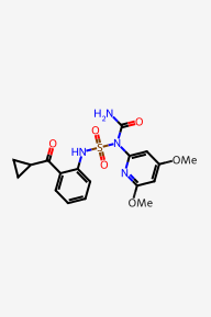 COc1cc(OC)nc(N(C(N)=O)S(=O)(=O)Nc2ccccc2C(=O)C2CC2)c1